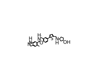 Cc1cc2cn[nH]c2cc1C(=O)N[C@H](C)c1cccc(-c2ccc(CN[C@H]3CC[C@@H](O)C3)s2)c1